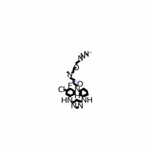 CN(C/C=C/C(=O)Nc1cccc(Nc2cc(Nc3ccc(F)c(Cl)c3)ncn2)c1)CCOCCN=[N+]=[N-]